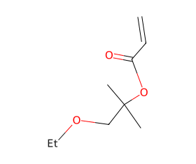 C=CC(=O)OC(C)(C)COCC